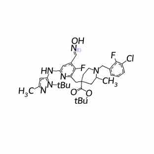 Cc1cc(Nc2cc(/C=N/O)c(F)c(CC3(C(=O)OC(C)(C)C)CCN(Cc4cccc(Cl)c4F)C(C)C3)n2)n(C(C)(C)C)n1